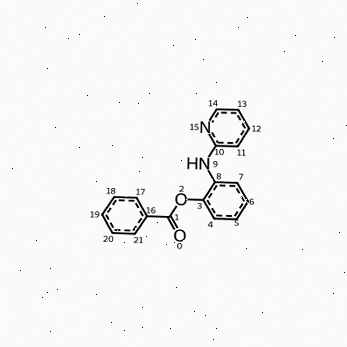 O=C(Oc1ccccc1Nc1ccccn1)c1ccccc1